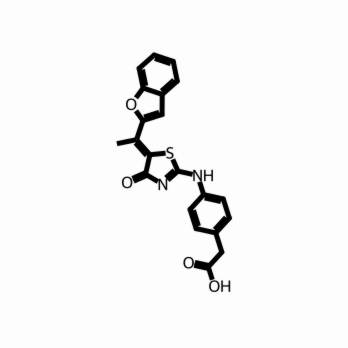 CC(=C1SC(Nc2ccc(CC(=O)O)cc2)=NC1=O)c1cc2ccccc2o1